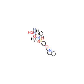 CN([C@@H]1[C@H]2CC[C@H](C2)[C@@H]1C(=O)NO)S(=O)(=O)c1ccc(OCc2ccc3ccccc3n2)cc1